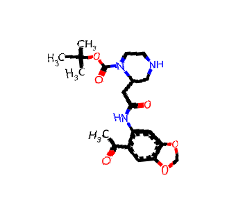 CC(=O)c1cc2c(cc1NC(=O)CC1CNCCN1C(=O)OC(C)(C)C)OCO2